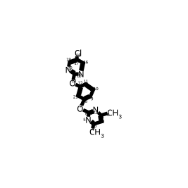 Cc1cc(C)nc(Oc2cccc(Oc3ncc(Cl)cn3)c2)n1